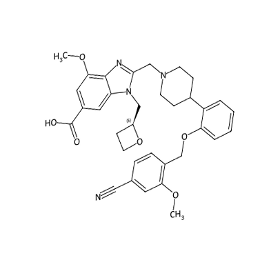 COc1cc(C#N)ccc1COc1ccccc1C1CCN(Cc2nc3c(OC)cc(C(=O)O)cc3n2C[C@@H]2CCO2)CC1